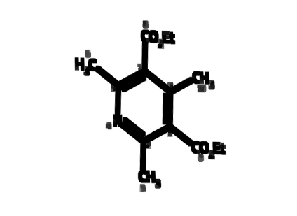 CCOC(=O)c1c(C)nc(C)c(C(=O)OCC)c1C